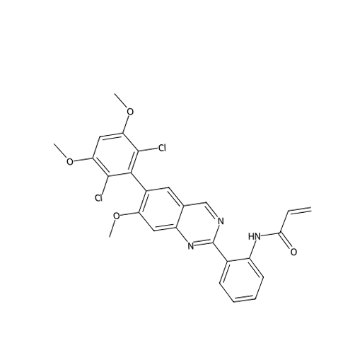 C=CC(=O)Nc1ccccc1-c1ncc2cc(-c3c(Cl)c(OC)cc(OC)c3Cl)c(OC)cc2n1